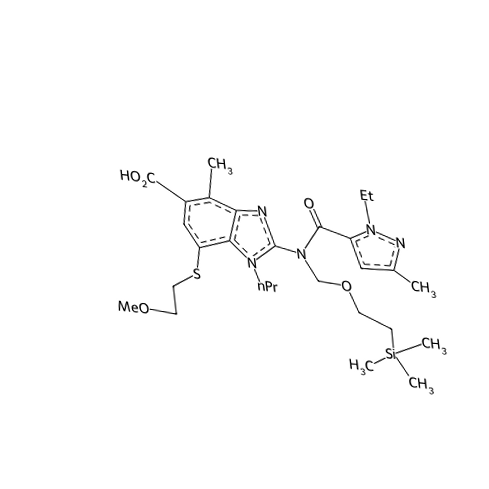 CCCn1c(N(COCC[Si](C)(C)C)C(=O)c2cc(C)nn2CC)nc2c(C)c(C(=O)O)cc(SCCOC)c21